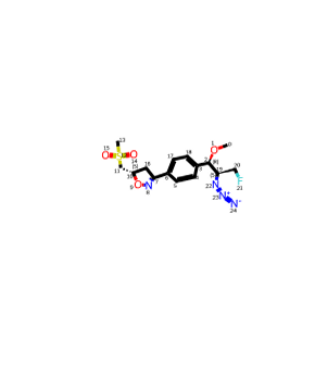 CO[C@H](c1ccc(C2=NO[C@H](CS(C)(=O)=O)C2)cc1)[C@@H](CF)N=[N+]=[N-]